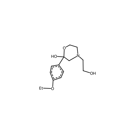 CCOc1ccc(C2(O)CN(CCO)CCO2)cc1